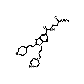 COC(=O)CCNC(=O)c1ccc2c(c1)nc(CCC1CCNCC1)n2CCCN1CCNCC1